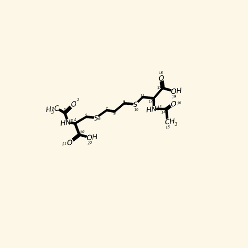 CC(=O)NC(CSCCCSCC(NC(C)=O)C(=O)O)C(=O)O